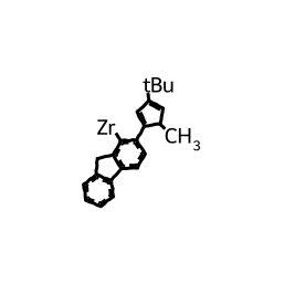 CC1C=C(C(C)(C)C)C=C1c1ccc2c([c]1[Zr])Cc1ccccc1-2